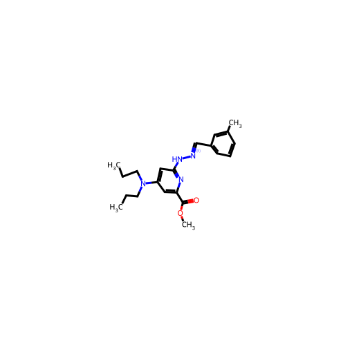 CCCN(CCC)c1cc(N/N=C/c2cccc(C)c2)nc(C(=O)OC)c1